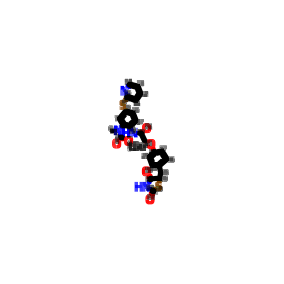 CN(C(=O)OC(C)(C)C)c1cc(Sc2ccccn2)ccc1NC(=O)COc1ccc(CC2SC(=O)NC2=O)cc1